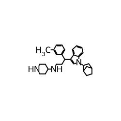 Cc1cccc(C(CCNC2CCNCC2)c2cn(C3CC4CCC3C4)c3ccccc23)c1